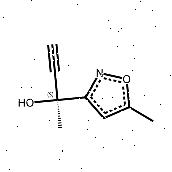 C#C[C@](C)(O)c1cc(C)on1